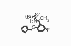 C[C@@H](N[S+]([O-])C(C)(C)C)c1cc(F)ccc1OCc1ccccc1